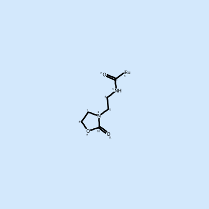 CCC(C)C(=O)NCCN1CCOC1=O